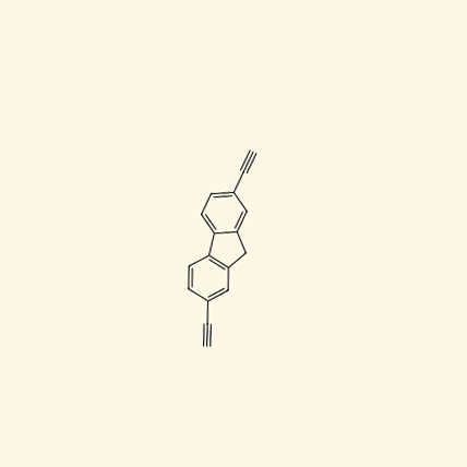 C#Cc1ccc2c(c1)Cc1cc(C#C)ccc1-2